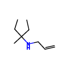 C=CCNC(C)(CC)CC